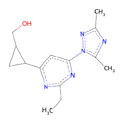 CCc1nc(C2CC2CO)cc(-n2nc(C)nc2C)n1